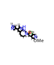 COc1cc(CC(=O)N2CCCCc3cc(-c4cnn(C)c4)c(C)nc3NC2)c(Cl)cn1